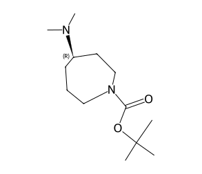 CN(C)[C@@H]1CCCN(C(=O)OC(C)(C)C)CC1